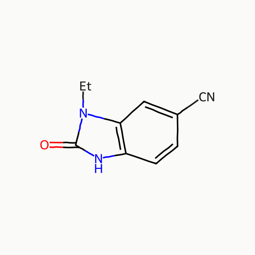 CCn1c(=O)[nH]c2ccc(C#N)cc21